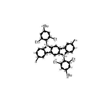 CCc1cc(C(C)(C)C)cc(CC)c1-n1c2ccc(C)cc2c2cc3c(cc21)c1cc(C)ccc1n3-c1c(CC)cc(C(C)(C)C)cc1CC